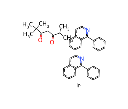 CC(C)C(=O)CC(=O)C(C)(C)C.[Ir].c1ccc(-c2nccc3ccccc23)cc1.c1ccc(-c2nccc3ccccc23)cc1